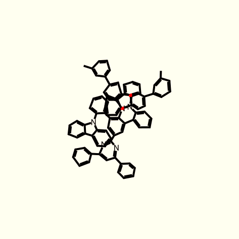 Cc1cccc(-c2ccc3c(c2)c2cc(-c4cccc(C)c4)ccc2n3-c2c(-c3ccccc3-n3c4ccccc4c4ccccc43)cc(-c3nc(-c4ccccc4)cc(-c4ccccc4)n3)cc2-c2ccccc2-n2c3ccccc3c3ccccc32)c1